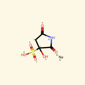 O=C1CC(O)(S(=O)(=O)O)C(=O)N1.[Na]